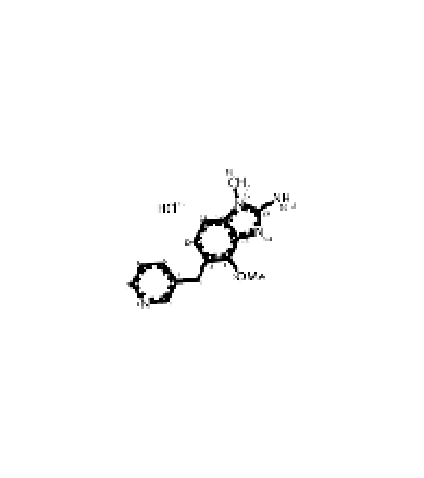 COc1c(Cc2cccnc2)ccc2c1nc(N)n2C.Cl